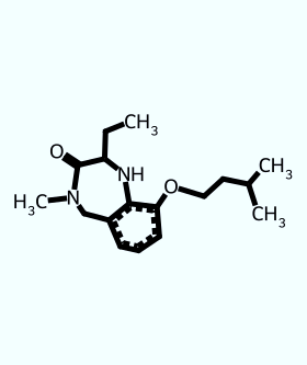 CCC1Nc2c(cccc2OCCC(C)C)CN(C)C1=O